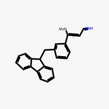 CN/C(=C\C=N)c1cccc(CC2c3ccccc3-c3ccccc32)c1